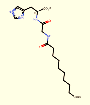 CCCCCCCCCCCCCCCCCCC(=O)NCC(=O)N[C@@H](Cc1c[nH]cn1)C(=O)O